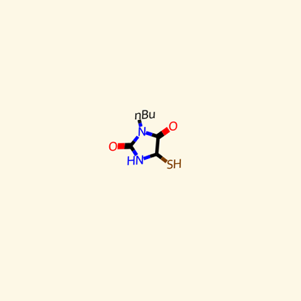 CCCCN1C(=O)NC(S)C1=O